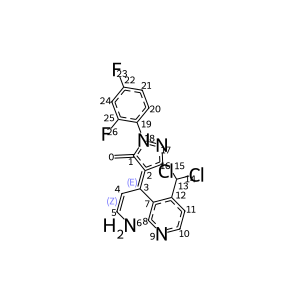 C=c1/c(=C(\C=C/N)c2cnccc2C(Cl)Cl)cnn1-c1ccc(F)cc1F